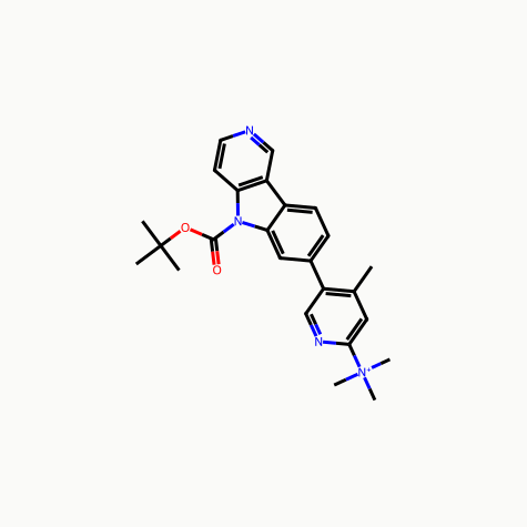 Cc1cc([N+](C)(C)C)ncc1-c1ccc2c3cnccc3n(C(=O)OC(C)(C)C)c2c1